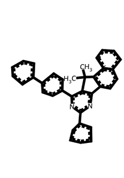 CC1(C)c2c(-c3ccc(-c4ccccc4)cc3)nc(-c3ccccc3)nc2-c2ccc3ccccc3c21